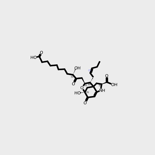 CC/C=C\C[C@H]1[C@H](CC(=O)[C@@H](O)CCCCCCCC(=O)O)O[C@@]2(O)CC13C[C@@H](C(=O)O)NC3=CC2=O